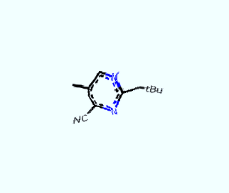 Cc1cnc(C(C)(C)C)nc1C#N